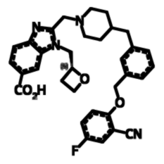 N#Cc1cc(F)ccc1OCc1cccc(CC2CCN(Cc3nc4ccc(C(=O)O)cc4n3C[C@@H]3CCO3)CC2)c1